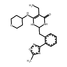 Cc1nc(-c2ccccc2CC2NC(=O)C(CN)=C(NC3CCOCC3)N2)no1